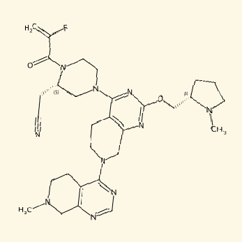 C=C(F)C(=O)N1CCN(c2nc(OC[C@@H]3CCCN3C)nc3c2CCN(c2ncnc4c2CCN(C)C4)C3)C[C@@H]1CC#N